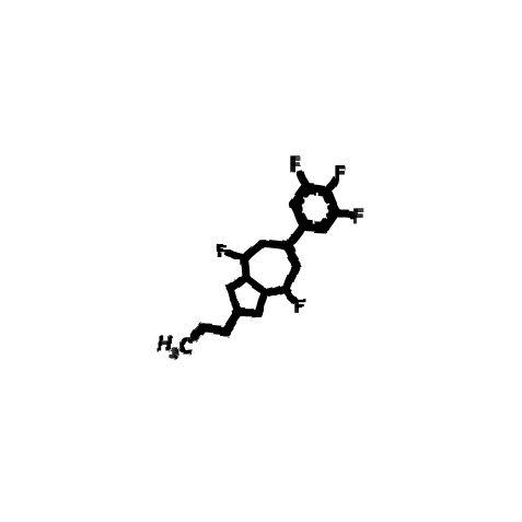 CCCC1CC2C(F)CC(c3cc(F)c(F)c(F)c3)CC(F)C2C1